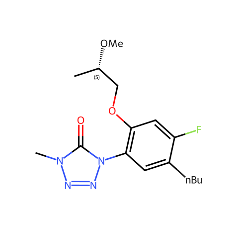 CCCCc1cc(-n2nnn(C)c2=O)c(OC[C@H](C)OC)cc1F